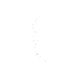 c1cc2sc(-c3ccc(-c4nc5cc6cc7sc(-c8ccc(-c9cc%10sccc%10s9)s8)nc7cc6cc5s4)s3)cc2s1